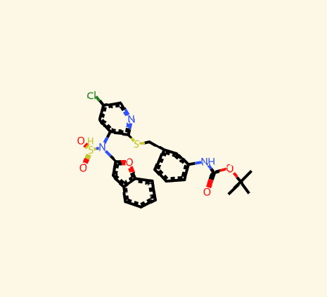 CC(C)(C)OC(=O)Nc1cccc(CSc2ncc(Cl)cc2N(c2cc3ccccc3o2)[SH](=O)=O)c1